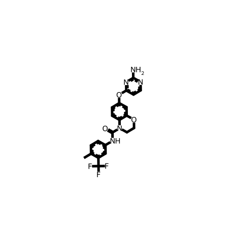 Cc1ccc(NC(=O)N2CCOc3cc(Oc4ccnc(N)n4)ccc32)cc1C(F)(F)F